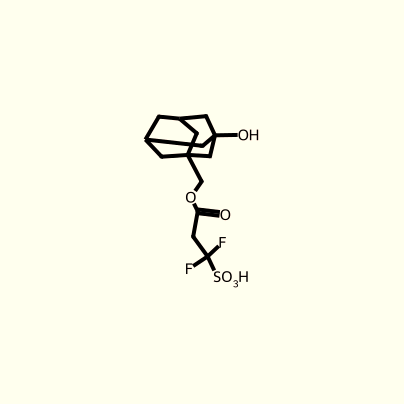 O=C(CC(F)(F)S(=O)(=O)O)OCC12CC3CC(CC(O)(C3)C1)C2